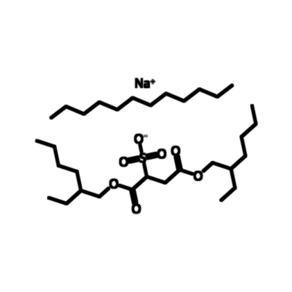 CCCCC(CC)COC(=O)CC(C(=O)OCC(CC)CCCC)S(=O)(=O)[O-].CCCCCCCCCCCC.[Na+]